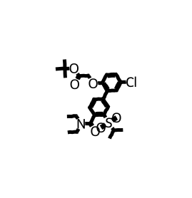 CCN(CC)C(=O)c1ccc(-c2cc(Cl)ccc2OCC(=O)OC(C)(C)C)cc1S(=O)(=O)C(C)C